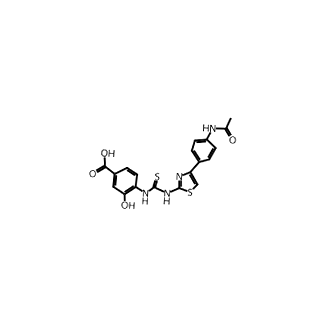 CC(=O)Nc1ccc(-c2csc(NC(=S)Nc3ccc(C(=O)O)cc3O)n2)cc1